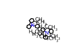 CC1(C)c2cccc3c2N2c4c1cccc4C(C)(C)c1c2c(cc2c1C(C)(C)c1cc4c(cc1-2)C(C)(C)c1cccc2c5ccccc5n-4c12)C3(C)C